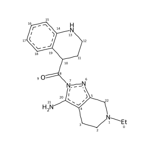 CCN1CCc2c(nn(C(=O)C3CCNc4ccccc43)c2N)C1